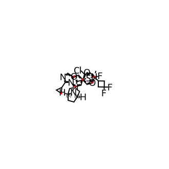 CN(C1CC(F)(F)C1)S(=O)(=O)c1cc(N2[C@@H]3CC[C@H]2CN(C(=O)c2ccc(F)cc2Cl)C3)n2c(C3CC3)ncc2c1